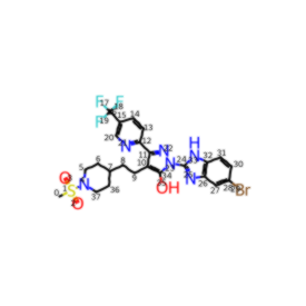 CS(=O)(=O)N1CCC(CCc2c(-c3ccc(C(F)(F)F)cn3)nn(-c3nc4cc(Br)ccc4[nH]3)c2O)CC1